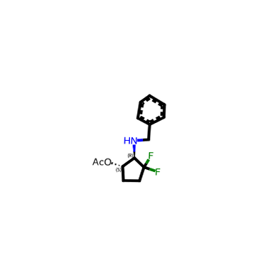 CC(=O)O[C@H]1CCC(F)(F)[C@@H]1NCc1ccccc1